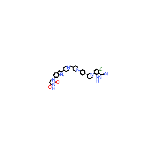 Cn1c(C2CCN(CC3CCN(c4ccc([C@H]5CCCN(c6ccc(Cl)c7c(C#N)n[nH]c67)C5)cc4)CC3)CC2)cc2ccc(N3CCC(=O)NC3=O)cc21